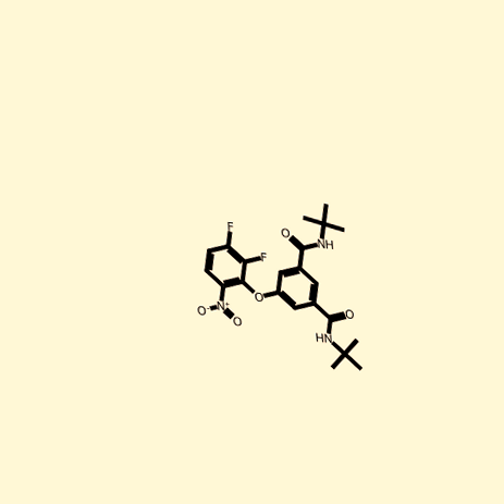 CC(C)(C)NC(=O)c1cc(Oc2c([N+](=O)[O-])ccc(F)c2F)cc(C(=O)NC(C)(C)C)c1